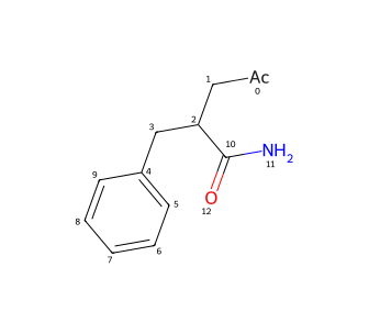 CC(=O)CC(Cc1ccccc1)C(N)=O